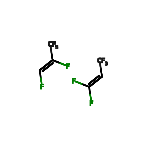 FC(F)=CC(F)(F)F.FC=C(F)C(F)(F)F